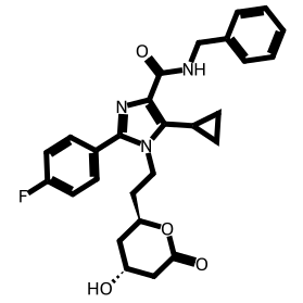 O=C1C[C@H](O)C[C@@H](CCn2c(-c3ccc(F)cc3)nc(C(=O)NCc3ccccc3)c2C2CC2)O1